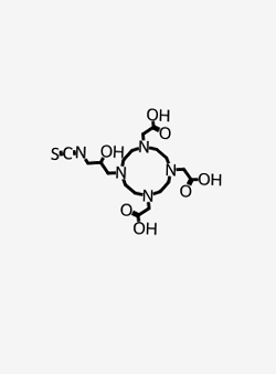 O=C(O)CN1CCN(CC(=O)O)CCN(CC(O)CN=C=S)CCN(CC(=O)O)CC1